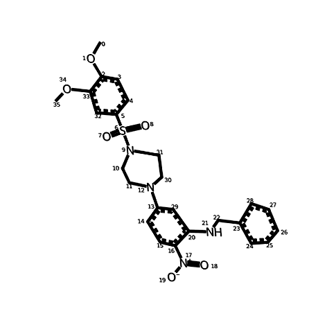 COc1ccc(S(=O)(=O)N2CCN(c3ccc([N+](=O)[O-])c(NCc4ccccc4)c3)CC2)cc1OC